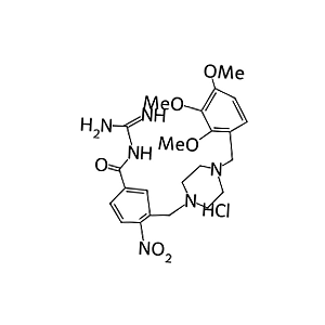 COc1ccc(CN2CCN(Cc3cc(C(=O)NC(=N)N)ccc3[N+](=O)[O-])CC2)c(OC)c1OC.Cl